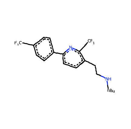 CCCCNCCc1ccc(-c2ccc(C(F)(F)F)cc2)nc1C(F)(F)F